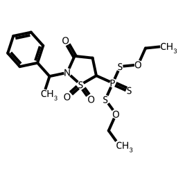 CCOSP(=S)(SOCC)C1CC(=O)N(C(C)c2ccccc2)S1(=O)=O